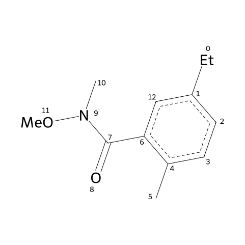 CCc1ccc(C)c(C(=O)N(C)OC)c1